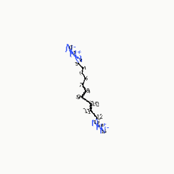 [N-]=[N+]=NCCCCCCCCCCN=[N+]=[N-]